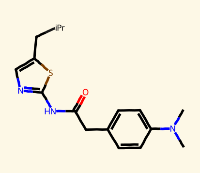 CC(C)Cc1cnc(NC(=O)Cc2ccc(N(C)C)cc2)s1